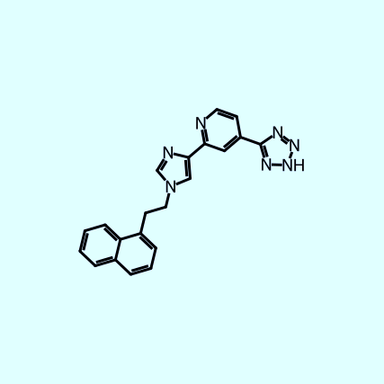 c1ccc2c(CCn3cnc(-c4cc(-c5nn[nH]n5)ccn4)c3)cccc2c1